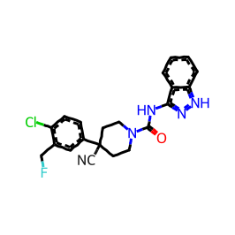 N#CC1(c2ccc(Cl)c(CF)c2)CCN(C(=O)Nc2n[nH]c3ccccc23)CC1